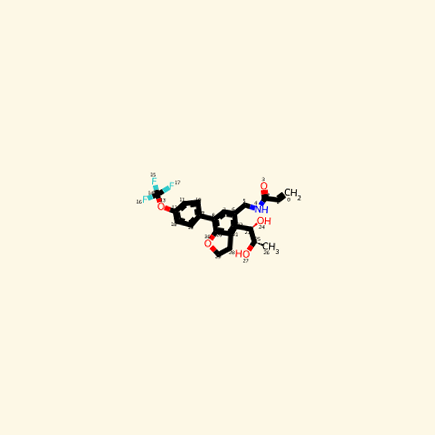 C=CC(=O)NCc1cc(-c2ccc(OC(F)(F)F)cc2)c2c(c1[C@H](O)[C@H](C)O)CCO2